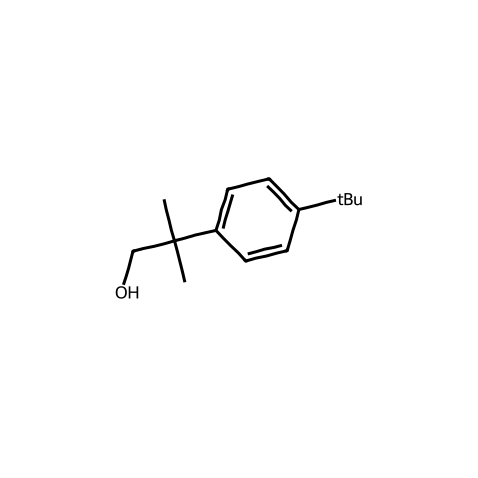 CC(C)(C)c1ccc(C(C)(C)CO)cc1